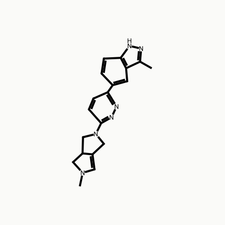 Cc1n[nH]c2ccc(-c3ccc(N4CC5=CN(C)CC5C4)nn3)cc12